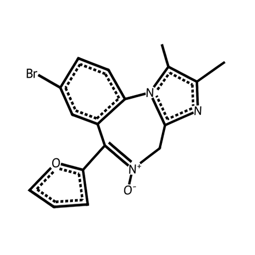 Cc1nc2n(c1C)-c1ccc(Br)cc1C(c1ccco1)=[N+]([O-])C2